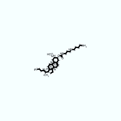 CC(C)CCC[C@@H](C)[C@H]1CC[C@H]2[C@@H]3CC=C4C[C@@H](OC(=O)NCCCNCCCCN)CC[C@]4(C)[C@H]3CC[C@]12C.Cl.Cl